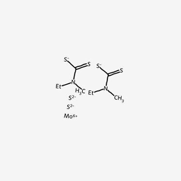 CCN(C)C(=S)[S-].CCN(C)C(=S)[S-].[Mo+6].[S-2].[S-2]